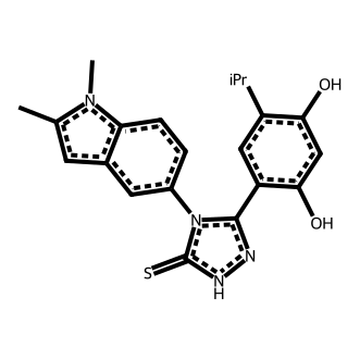 Cc1cc2cc(-n3c(-c4cc(C(C)C)c(O)cc4O)n[nH]c3=S)ccc2n1C